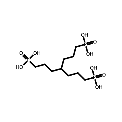 O=P(O)(O)CCCC(CCCP(=O)(O)O)CCCP(=O)(O)O